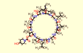 C/C=C/C[C@@H](C)[C@@H](O)[C@H]1C(=O)N[C@@H](CC)C(=O)N(C)[C@H](C)C(=O)N(C)[C@@H]([C@H](C)COC(=O)N2CCC(O)CC2)C(=O)N[C@@H](C(C)C)C(=O)N(C)[C@@H](CCC(C)C)C(=O)N[C@@H](C)C(=O)N[C@H](C)C(=O)N(C)[C@@H](CC(C)C)C(=O)N(C)[C@@H](CCC(C)C)C(=O)N(C)[C@@H](C(C)C)C(=O)N1C